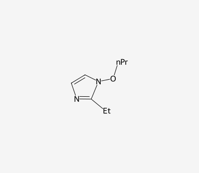 CCCOn1ccnc1CC